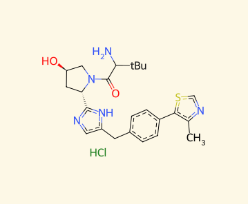 Cc1ncsc1-c1ccc(Cc2cnc([C@@H]3C[C@@H](O)CN3C(=O)C(N)C(C)(C)C)[nH]2)cc1.Cl